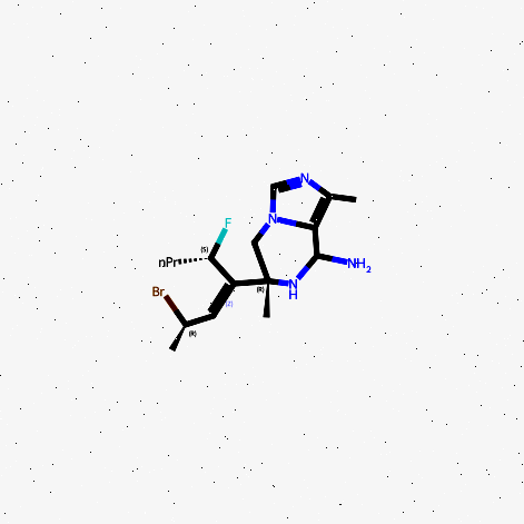 CCC[C@H](F)/C(=C\[C@@H](C)Br)[C@]1(C)Cn2cnc(C)c2C(N)N1